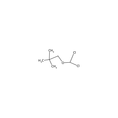 CC(C)(C)COC(Cl)Cl